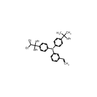 C=Cc1cccc(N(c2ccc(C(C)(C)CCC)cc2)c2ccc(C(CCC)(CCC)C(CC)CC)cc2)c1